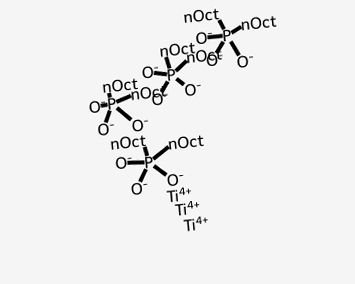 CCCCCCCCP([O-])([O-])([O-])CCCCCCCC.CCCCCCCCP([O-])([O-])([O-])CCCCCCCC.CCCCCCCCP([O-])([O-])([O-])CCCCCCCC.CCCCCCCCP([O-])([O-])([O-])CCCCCCCC.[Ti+4].[Ti+4].[Ti+4]